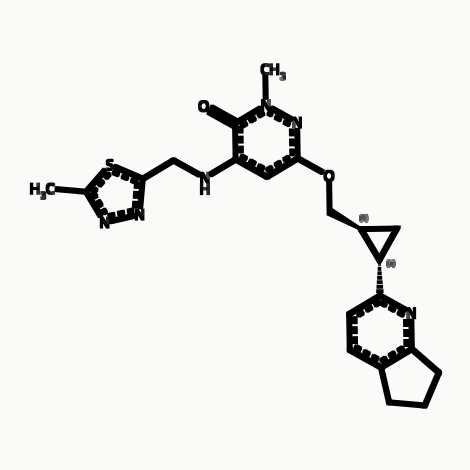 Cc1nnc(CNc2cc(OC[C@H]3C[C@@H]3c3ccc4c(n3)CCC4)nn(C)c2=O)s1